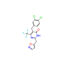 O=c1[nH]c(Cc2ccno2)nc(C(F)(F)F)c1Cc1ccc(Cl)c(Cl)c1